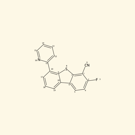 N#Cc1c(F)ccc2c1sc1c(-c3ccccn3)cccc12